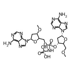 COCC1O[C@@H](n2cnc3c(N)ncnc32)C[C@H]1OP(=O)(NP(=O)(O)O)OCC1O[C@@H](n2cnc3c(N)ncnc32)C[C@H]1OC